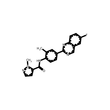 Cc1cc(-c2ncc3cc(F)ccc3n2)ccc1NC(=O)c1ccnn1C